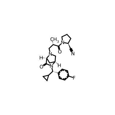 C[C@@H](CN1C[C@@H]2C[C@H]1C(=O)N2[C@H](c1ccc(F)cc1)C1CC1)C(=O)N1CCC[C@H]1C#N